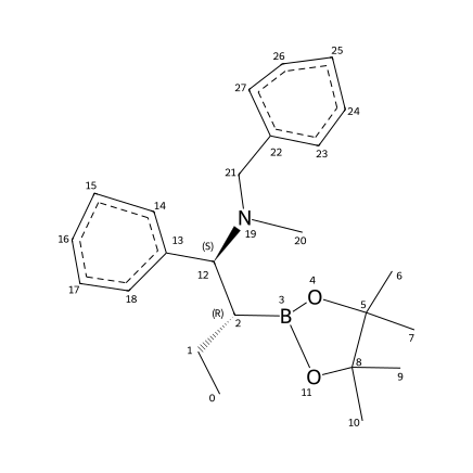 CC[C@@H](B1OC(C)(C)C(C)(C)O1)[C@@H](c1ccccc1)N(C)Cc1ccccc1